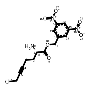 N[C@@H](CCC#CCCl)C(=O)OCc1cc([N+](=O)[O-])cc([N+](=O)[O-])c1